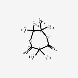 CC1(C)C(=O)OC(C)(C)C(C)(C)OC1=O